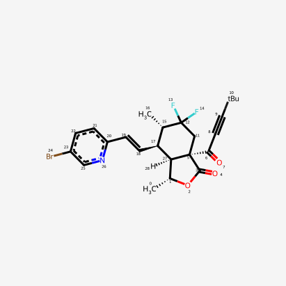 C[C@H]1OC(=O)[C@]2(C(=O)C#CC(C)(C)C)CC(F)(F)[C@@H](C)[C@H](/C=C/c3ccc(Br)cn3)[C@H]12